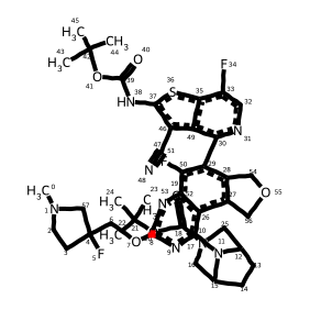 CN1CCC(F)(COc2nc(N3C4CCC3CN(C(=O)OC(C)(C)C)C4)c3c4c(c(-c5ncc(F)c6sc(NC(=O)OC(C)(C)C)c(C#N)c56)c(F)c3n2)COC4)C1